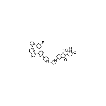 O=C1CCC(N2C(=O)c3ccc(N4CCC(CN5CCN(c6cccc(C7CN=C8C=CC(N9CCC[C@@H]9c9cccc(F)c9)=NN87)n6)CC5)C4)cc3C2=O)C(=O)N1